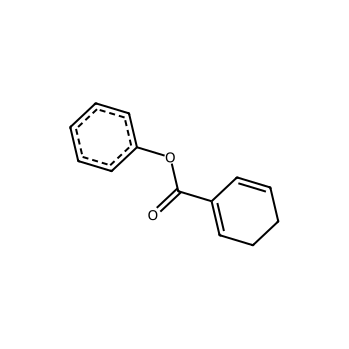 O=C(Oc1ccccc1)C1=CCCC=C1